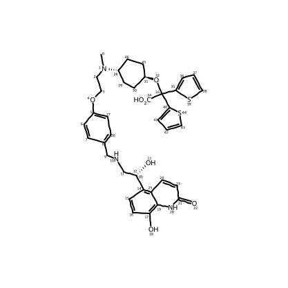 CN(CCOc1ccc(CNC[C@H](O)c2ccc(O)c3[nH]c(=O)ccc23)cc1)[C@H]1CC[C@H](OC(C(=O)O)(c2cccs2)c2cccs2)CC1